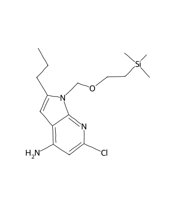 CCCc1cc2c(N)cc(Cl)nc2n1COCC[Si](C)(C)C